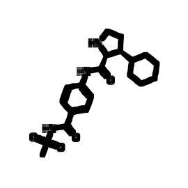 CS(=O)(=O)NC(=O)c1ccc(NC(=O)[C@H]2NCC[C@H]2C2CCCCC2)cc1